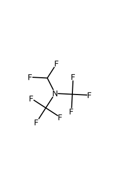 FC(F)N(C(F)(F)F)C(F)(F)F